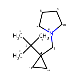 CC(C)(C)C1(CN2CCCC2)CC1